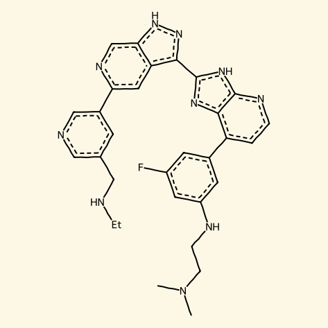 CCNCc1cncc(-c2cc3c(-c4nc5c(-c6cc(F)cc(NCCN(C)C)c6)ccnc5[nH]4)n[nH]c3cn2)c1